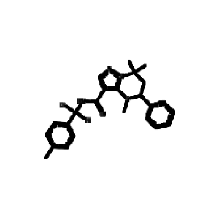 CCC(CC)(NC(=O)c1cnn2c1N(C)C(c1ccccc1)CC2(C)C)c1ccc(C)cc1